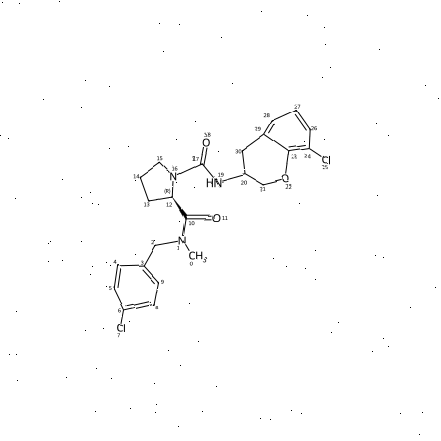 CN(Cc1ccc(Cl)cc1)C(=O)[C@H]1CCCN1C(=O)NC1COc2c(Cl)cccc2C1